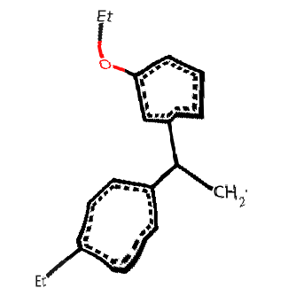 [CH2]C(c1ccc(CC)cc1)c1cccc(OCC)c1